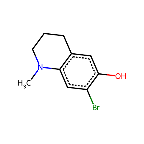 CN1CCCc2cc(O)c(Br)cc21